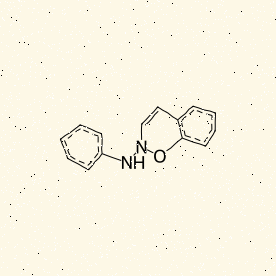 C1=CN(Nc2ccccc2)Oc2ccccc21